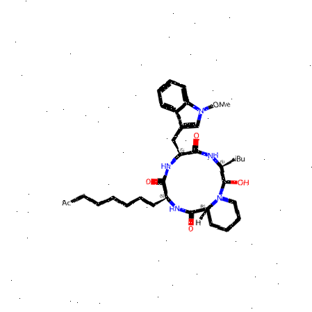 CCC(C)[C@@H]1NC(=O)[C@H](Cc2cn(OC)c3ccccc23)NC(=O)[C@H](CCCCCCC(C)=O)NC(=O)[C@H]2CCCCN2C1O